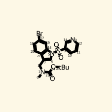 CN(Cc1cn(S(=O)(=O)c2cccnc2)c2cc(Br)ccc12)C(=O)OC(C)(C)C